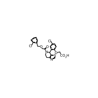 O=C(O)COc1ccc(Cl)cc1C1c2scnc2CCN1C(=O)COCc1ccccc1Cl